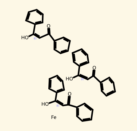 O=C(/C=C(/O)c1ccccc1)c1ccccc1.O=C(/C=C(/O)c1ccccc1)c1ccccc1.O=C(/C=C(/O)c1ccccc1)c1ccccc1.[Fe]